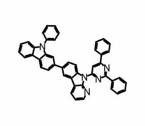 c1ccc(-c2cc(-n3c4ccc(-c5ccc6c7ccccc7n(-c7ccccc7)c6c5)cc4c4cccnc43)nc(-c3ccccc3)n2)cc1